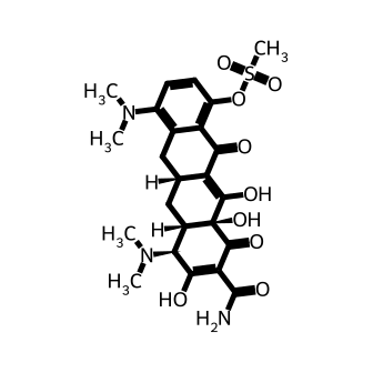 CN(C)c1ccc(OS(C)(=O)=O)c2c1C[C@H]1C[C@H]3[C@H](N(C)C)C(O)=C(C(N)=O)C(=O)[C@@]3(O)C(O)=C1C2=O